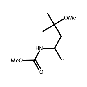 [CH2]C(CC(C)(C)OC)NC(=O)OC